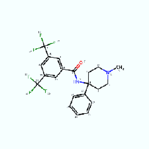 CN1CCC(NC(=O)c2cc(C(F)(F)F)cc(C(F)(F)F)c2)(c2ccccc2)CC1